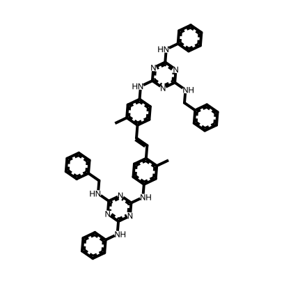 Cc1cc(Nc2nc(NCc3ccccc3)nc(Nc3ccccc3)n2)ccc1C=Cc1ccc(Nc2nc(NCc3ccccc3)nc(Nc3ccccc3)n2)cc1C